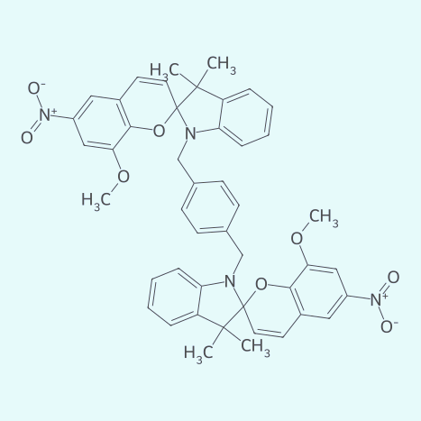 COc1cc([N+](=O)[O-])cc2c1OC1(C=C2)N(Cc2ccc(CN3c4ccccc4C(C)(C)C34C=Cc3cc([N+](=O)[O-])cc(OC)c3O4)cc2)c2ccccc2C1(C)C